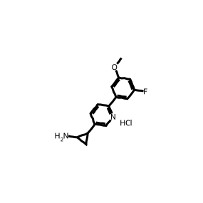 COc1cc(F)cc(-c2ccc(C3CC3N)cn2)c1.Cl